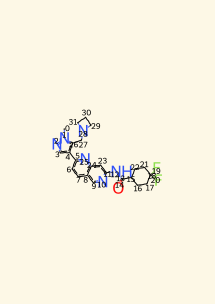 Cn1ncc(-c2ccc3cnc(NC(=O)C4CCC(F)(F)CC4)cc3n2)c1CN1CCC1